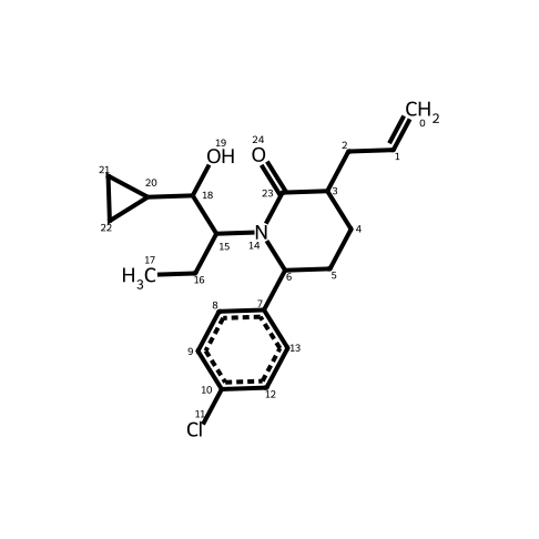 C=CCC1CCC(c2ccc(Cl)cc2)N(C(CC)C(O)C2CC2)C1=O